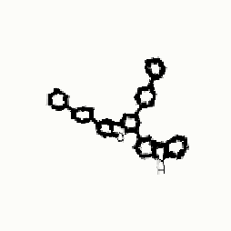 c1ccc(-c2ccc(-c3ccc4oc5c(-c6ccc7[nH]c8ccccc8c7c6)cc(-c6ccc(-c7ccccc7)cc6)cc5c4c3)cc2)cc1